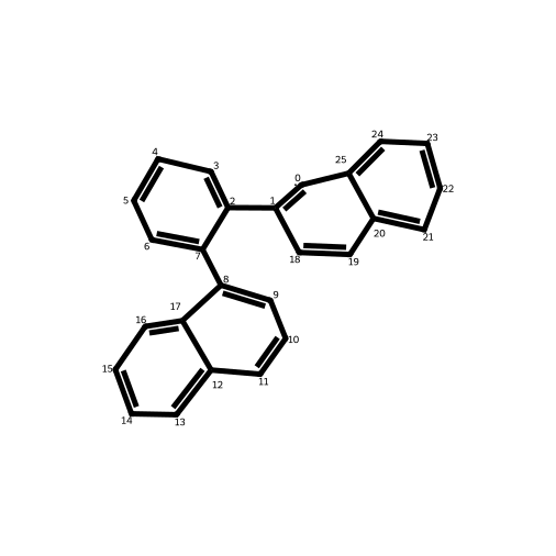 [c]1c(-c2ccccc2-c2cccc3ccccc23)ccc2ccccc12